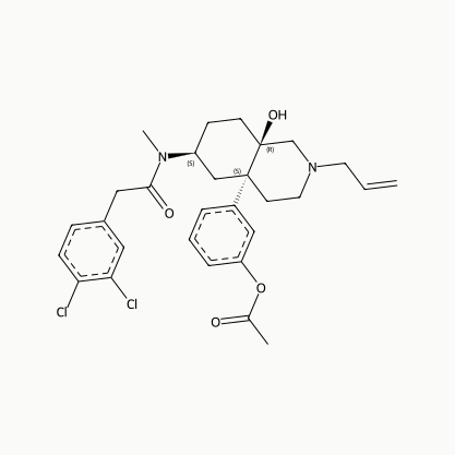 C=CCN1CC[C@@]2(c3cccc(OC(C)=O)c3)C[C@@H](N(C)C(=O)Cc3ccc(Cl)c(Cl)c3)CC[C@]2(O)C1